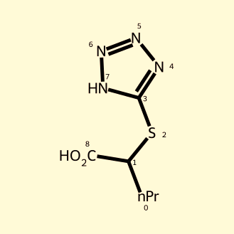 CCCC(Sc1nnn[nH]1)C(=O)O